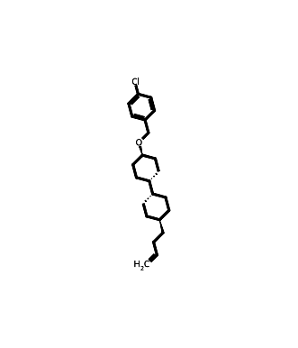 C=CCC[C@H]1CC[C@H]([C@H]2CC[C@H](OCc3ccc(Cl)cc3)CC2)CC1